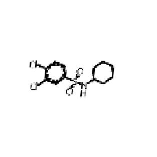 O=S(=O)(NC1CCCCC1)c1ccc(Cl)c(Cl)c1